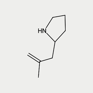 C=C(C)CC1CCCN1